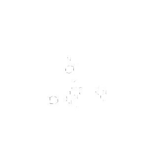 NC(=O)NCCC[C@H](NC(=O)[C@@H](N)Cc1ccccc1)C(=O)OC(=O)Oc1ccc([N+](=O)[O-])cc1